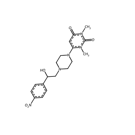 Cn1c(N2CCN(CC(O)c3ccc([N+](=O)[O-])cc3)CC2)cc(=O)n(C)c1=O